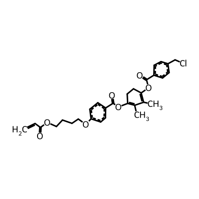 C=CC(=O)OCCCCOc1ccc(C(=O)OC2=C(C)C(C)=C(OC(=O)c3ccc(CCl)cc3)CC2)cc1